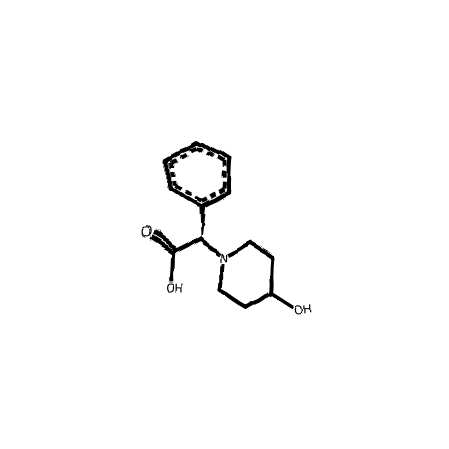 O=C(O)[C@@H](c1ccccc1)N1CCC(O)CC1